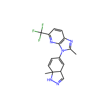 Cc1nc2ccc(C(F)(F)F)nc2n1C1=CC2C=NNC2(C)C=C1